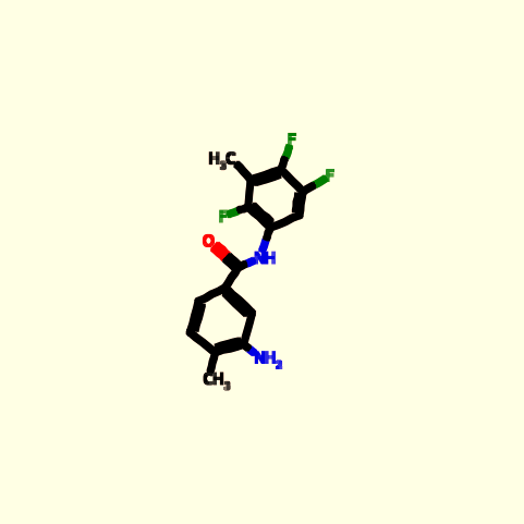 Cc1ccc(C(=O)Nc2cc(F)c(F)c(C)c2F)cc1N